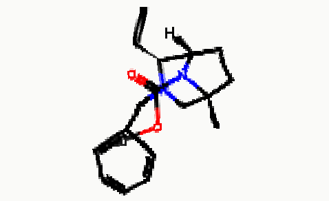 C=C[C@@H]1[C@@H]2CC[C@](C)(CN1Cc1ccccc1)N2C(=O)OC(C)(C)C